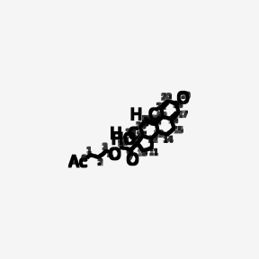 CC(=O)CCCOCC(=O)[C@@]1(O)CCC2C3CCC4=CC(=O)C=C[C@]4(C)C3=CC[C@@]21C